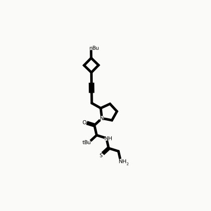 CCCCC1CC(C#CCC2CCCN2C(=O)C(NC(=S)CN)C(C)(C)C)C1